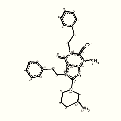 Cn1c(=O)n(CCc2ccccc2)c(=O)c2c1nc(N1CCCC(N)C1)n2CCc1ccccc1